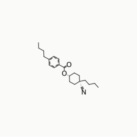 CCCCc1ccc(C(=O)O[C@H]2CC[C@](C#N)(CCCC)CC2)cc1